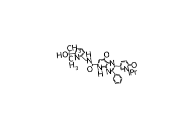 CC(C)n1cc(-c2nc3c(=O)cc(C(=O)NCc4cccc(C(C)(C)O)n4)[nH]c3nc2-c2ccccc2)ccc1=O